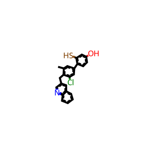 Cc1cc(-c2ccc(O)cc2S)cc(Cl)c1Cc1cnc2ccccc2c1